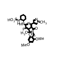 COc1ccc(CN2C(=O)c3c(-c4cnn(C)c4)nc(N[C@@H]4CCCC[C@@H]4NC(=O)O)c(F)c3C2(C)C)c(OC)c1